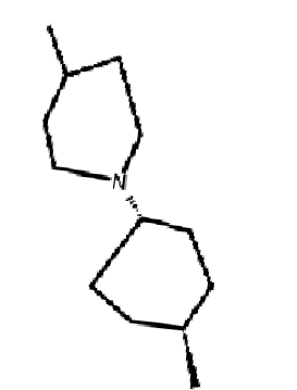 CC1CCN([C@H]2CC[C@H](C)CC2)CC1